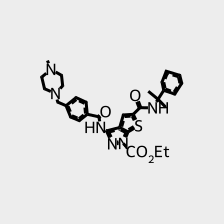 CCOC(=O)n1nc(NC(=O)c2ccc(CN3CCN(C)CC3)cc2)c2cc(C(=O)NC(C)(C)c3ccccc3)sc21